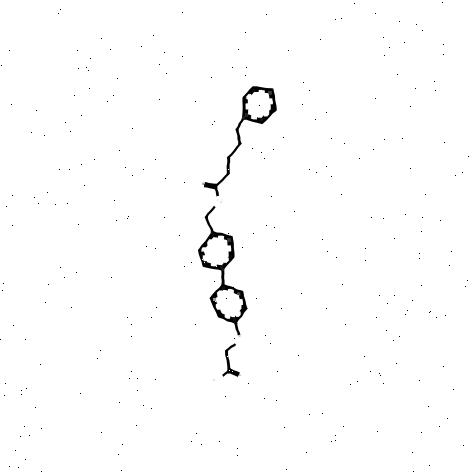 O=C(O)COc1ccc(-c2ccc(CNC(=O)CCCCc3ccccc3)cc2)cc1